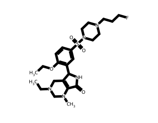 CCOc1ccc(S(=O)(=O)N2CCN(CCCF)CC2)cc1C1NC(=O)C2=C1CN(CC)CN2C